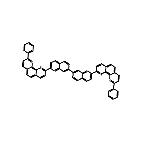 c1ccc(-c2ccc3ccc4ccc(-c5ccc6ccc(-c7ccc8ccc(-c9ccc%10ccc%11ccc(-c%12ccccc%12)nc%11c%10n9)nc8c7)cc6n5)nc4c3n2)cc1